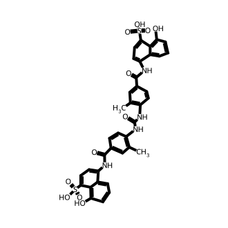 Cc1cc(C(=O)Nc2ccc(S(=O)(=O)O)c3c(O)cccc23)ccc1NC(=O)Nc1ccc(C(=O)Nc2ccc(S(=O)(=O)O)c3c(O)cccc23)cc1C